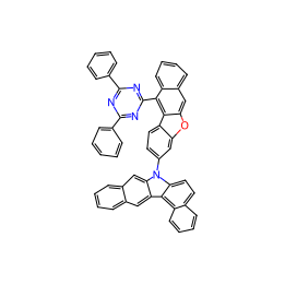 c1ccc(-c2nc(-c3ccccc3)nc(-c3c4ccccc4cc4oc5cc(-n6c7cc8ccccc8cc7c7c8ccccc8ccc76)ccc5c34)n2)cc1